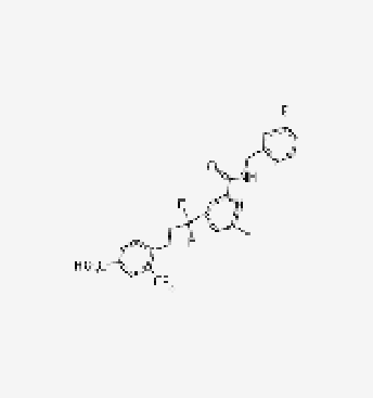 Cc1cc(C(F)(F)CCc2ccc(C(=O)O)cc2C(F)(F)F)cc(C(=O)NCc2cccc(F)c2)n1